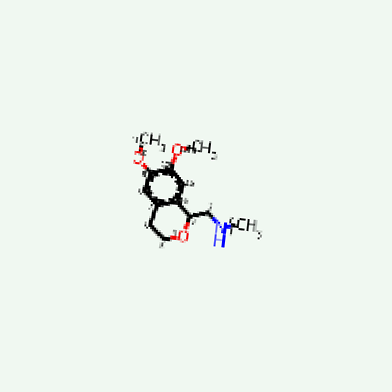 CNCC1OCCc2cc(OC)c(OC)cc21